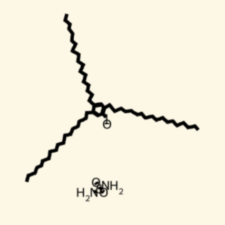 CCCCCCCCCCCCCCCCCCc1cc(CCCCCCCCCCCCCCCCCC)c(I=O)cc1CCCCCCCCCCCCCCCCCC.NS(N)(=O)=O